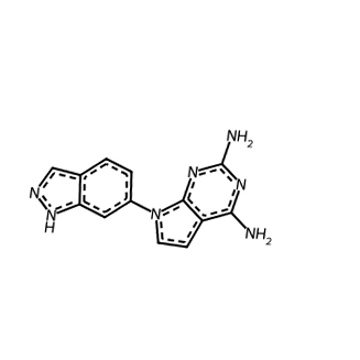 Nc1nc(N)c2ccn(-c3ccc4cn[nH]c4c3)c2n1